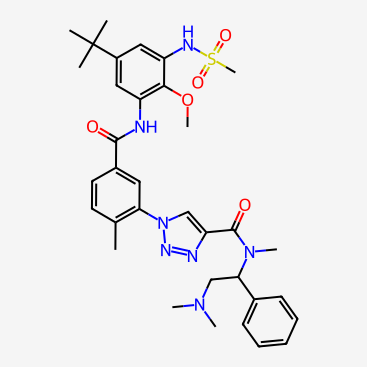 COc1c(NC(=O)c2ccc(C)c(-n3cc(C(=O)N(C)C(CN(C)C)c4ccccc4)nn3)c2)cc(C(C)(C)C)cc1NS(C)(=O)=O